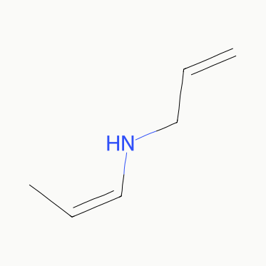 C=CCN/C=C\C